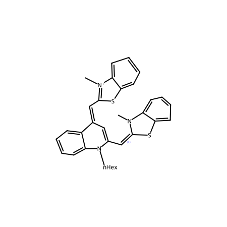 CCCCCCN1C(/C=C2/Sc3ccccc3N2C)=CC(=Cc2sc3ccccc3[n+]2C)c2ccccc21